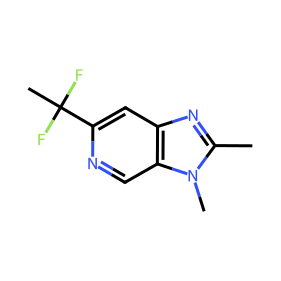 Cc1nc2cc(C(C)(F)F)ncc2n1C